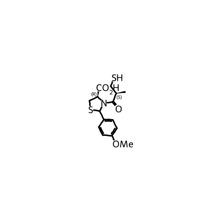 COc1ccc(C2SC[C@@H](C(=O)O)N2C(=O)[C@H](C)CS)cc1